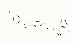 COC(C)c1ccc(C)cc1N1C(=O)CS/C1=N\C(=O)Nc1ccc(-c2ncn(-c3ccc(OCC#N)cc3)n2)cc1F